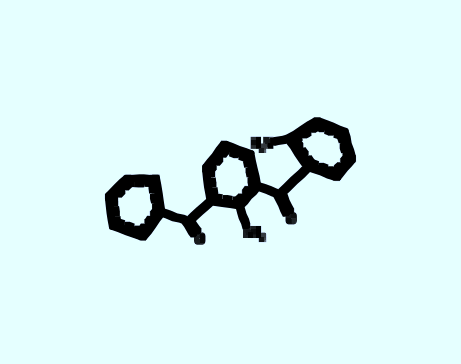 Nc1ccccc1C(=O)c1cccc(C(=O)c2ccccc2)c1N